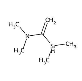 C=C(N(C)C)[SiH](C)C